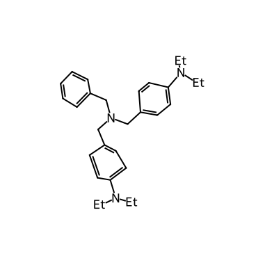 CCN(CC)c1ccc(CN(Cc2ccccc2)Cc2ccc(N(CC)CC)cc2)cc1